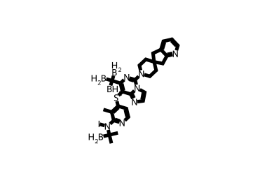 BC(B)(B)c1nc(N2CCC3(CC2)Cc2cccnc2C3)n2ccnc2c1Sc1ccnc(N(I)C(B)(C)C)c1C